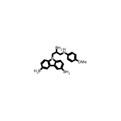 Bc1ccc2c(c1)c1cc(B)ccc1n2CC(B)CNc1ccc(OC)cc1